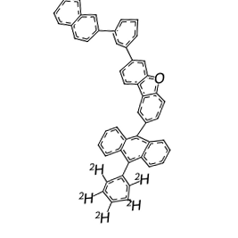 [2H]c1c([2H])c([2H])c(-c2c3ccccc3c(-c3ccc4oc5cc(-c6cccc(-c7ccc8ccccc8c7)c6)ccc5c4c3)c3ccccc23)c([2H])c1[2H]